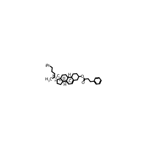 CC(C)CCCC(C)[C@H]1CC[C@H]2[C@@H]3CC=C4CC(OC(=O)CCc5ccccc5)CC[C@]4(C)[C@H]3CC[C@]12C